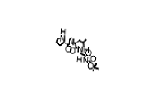 CC(C)C[C@@H](C(=O)NCC(=O)NC(=O)OC(C)(C)C)N(C)C(=O)[C@@H]1CCCN1